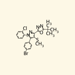 CSc1c(-c2nnc(C(C)(C)C)o2)nn(-c2ccccc2Cl)c1-c1ccc(Br)cc1